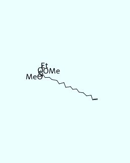 C=CCCCCCCCCCCCCCC[Si](OC)(OC)OCC